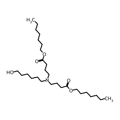 CCCCCCCOC(=O)CCCN(CCCCCCO)CCCC(=O)OCCCCCCC